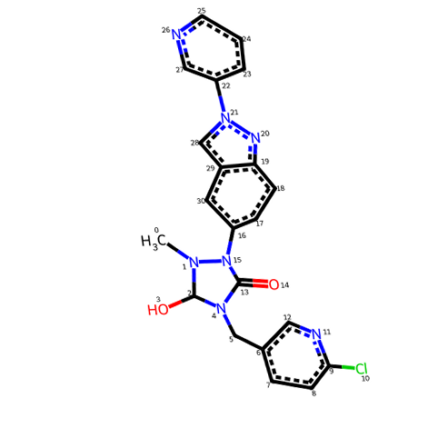 CN1C(O)N(Cc2ccc(Cl)nc2)C(=O)N1c1ccc2nn(-c3cccnc3)cc2c1